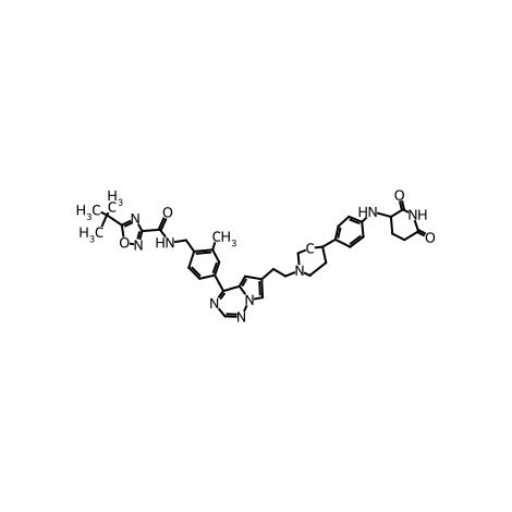 Cc1cc(-c2ncnn3cc(CCN4CCC(c5ccc(NC6CCC(=O)NC6=O)cc5)CC4)cc23)ccc1CNC(=O)c1noc(C(C)(C)C)n1